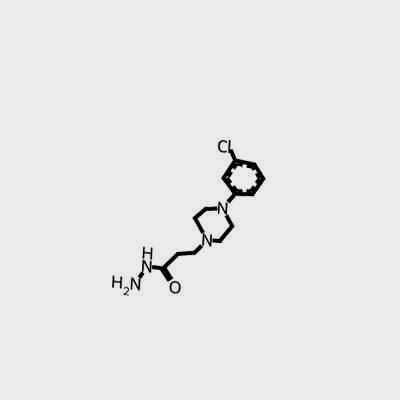 NNC(=O)CCN1CCN(c2cccc(Cl)c2)CC1